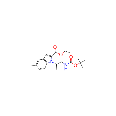 CCOC(=O)c1cc2cc(C)ccc2n1C(C)CNC(=O)OC(C)(C)C